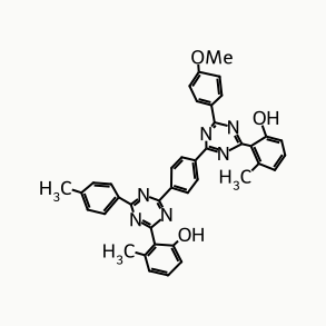 COc1ccc(-c2nc(-c3ccc(-c4nc(-c5ccc(C)cc5)nc(-c5c(C)cccc5O)n4)cc3)nc(-c3c(C)cccc3O)n2)cc1